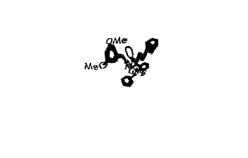 COc1cc(CCn2nc(C)c(-c3cccc(F)c3OCc3ccccc3)c(/C=C/c3ccccc3)c2=O)cc(OC)c1